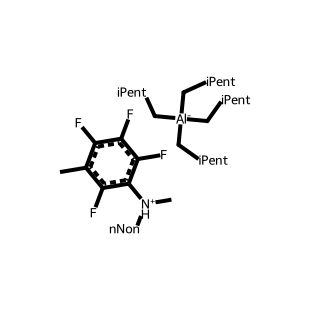 CCCC(C)[CH2][Al-]([CH2]C(C)CCC)([CH2]C(C)CCC)[CH2]C(C)CCC.CCCCCCCCC[NH+](C)c1c(F)c(C)c(F)c(F)c1F